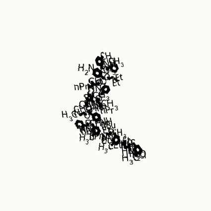 CCCCN1CCCCC1C(=O)Nc1c(C)cccc1C.CCCCNc1ccc(C(=O)OCCN(C)C)cc1.CCCN(CC)C(CC)C(=O)Nc1c(C)cccc1C.CCCNC(C)C(=O)Nc1c(C)csc1C(=O)OC.CCCNC(C)C(=O)Nc1ccccc1C.CCN(CC)CC(=O)Nc1c(C)cccc1C.CCN(CC)CCOC(=O)c1ccc(N)cc1.Cc1cccc(C)c1NC(=O)C1CCCCN1C.Cl.O